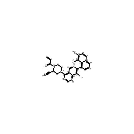 C=CC(=O)N1CCN(c2ncnc3c(F)c(-c4cccc5ccc(F)c(Cl)c45)ncc23)CC1C#N